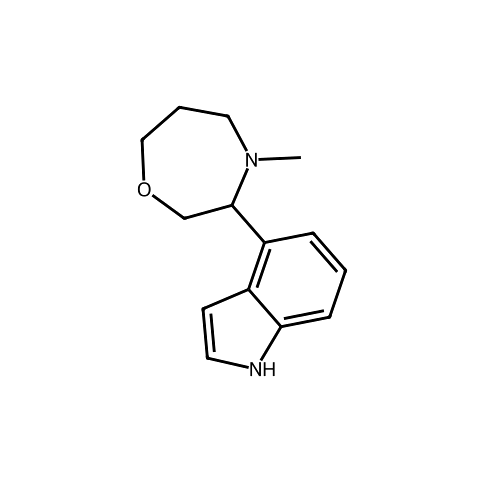 CN1CCCOCC1c1cccc2[nH]ccc12